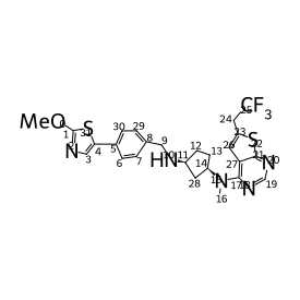 COc1ncc(-c2ccc(CN[C@H]3CC[C@@H](N(C)c4ncnc5sc(CC(F)(F)F)cc45)C3)cc2)s1